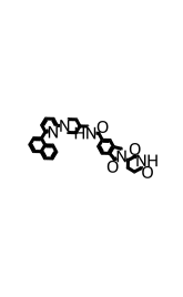 O=C1CCC(N2Cc3cc(C(=O)NCC4CCN(c5cccc(-c6cccc7ccccc67)n5)CC4)ccc3C2=O)C(=O)N1